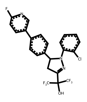 OC(C1=NN(c2ccccc2Cl)C(c2ccc(-c3ccc(F)nc3)cc2)C1)(C(F)(F)F)C(F)(F)F